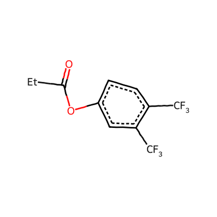 CCC(=O)Oc1ccc(C(F)(F)F)c(C(F)(F)F)c1